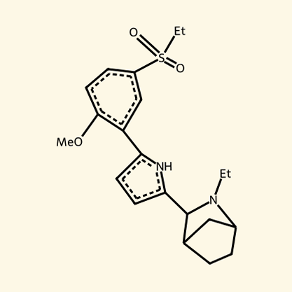 CCN1C2CCC(C2)C1c1ccc(-c2cc(S(=O)(=O)CC)ccc2OC)[nH]1